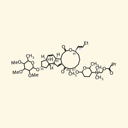 CC/C=C/[C@H]1CCC[C@H](OC2CCC([N+](C)(C)COC(=O)C(C)C)C(C)O2)[C@@H](C)C(=O)C2=C[C@H]3[C@@H]4C[C@H](OC5OC(C)C(OC)C(OC)C5OC)C[C@H]4C=C[C@H]3C2CC(=O)O1